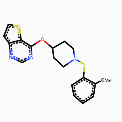 COc1ccccc1SN1CCC(Oc2ncnc3ccsc23)CC1